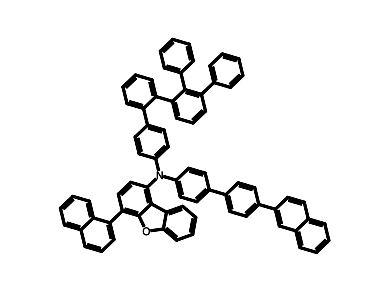 c1ccc(-c2cccc(-c3ccccc3-c3ccc(N(c4ccc(-c5ccc(-c6ccc7ccccc7c6)cc5)cc4)c4ccc(-c5cccc6ccccc56)c5oc6ccccc6c45)cc3)c2-c2ccccc2)cc1